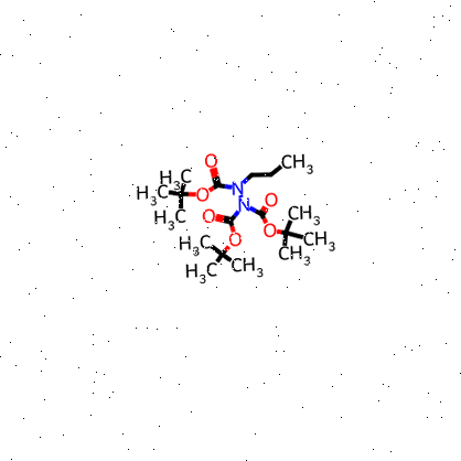 CCCN(C(=O)OC(C)(C)C)N(C(=O)OC(C)(C)C)C(=O)OC(C)(C)C